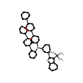 CC(C)(C)c1c(-c2cccc(N(c3ccc(-c4ccc(-c5ccccc5)cc4)cc3)c3ccccc3-c3ccc(-c4ccccc4)cc3)c2)oc2ccccc12